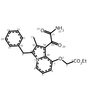 CCOC(=O)COc1cccn2c(Cc3ccccc3)c(C)c(C(=O)C(N)=O)c12